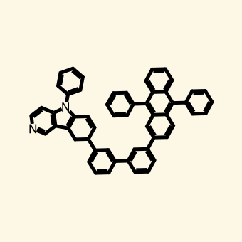 C1=CC(c2cccc(-c3cccc(-c4ccc5c(-c6ccccc6)c6ccccc6c(-c6ccccc6)c5c4)c3)c2)Cc2c1n(-c1ccccc1)c1ccncc21